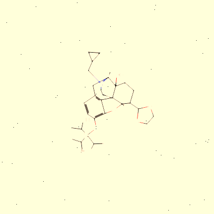 CC(C)[Si](Oc1ccc2c3c1O[C@H]1C(C4OCCO4)CCC4(O)[C@@H](C2)N(CC2CC2)CC[C@]314)(C(C)C)C(C)C